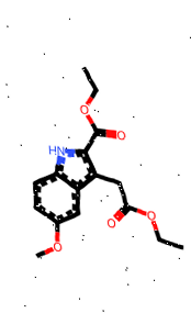 CCOC(=O)Cc1c(C(=O)OCC)[nH]c2ccc(OC)cc12